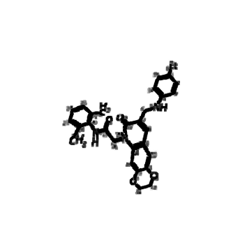 CCc1ccc(NCc2cc3cc4c(cc3n(CC(=O)Nc3c(C)cccc3C)c2=O)OCCO4)cc1